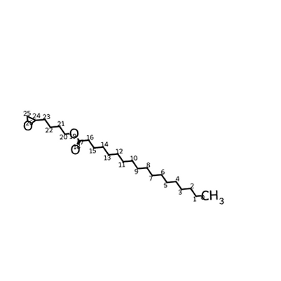 CCCCCCCCCCCCCCCCCC(=O)OCCCCC1CO1